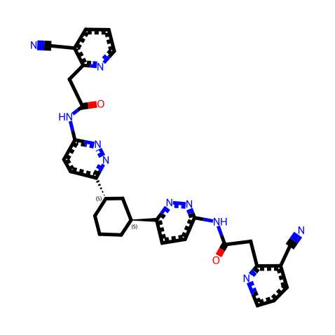 N#Cc1cccnc1CC(=O)Nc1ccc([C@H]2CCC[C@H](c3ccc(NC(=O)Cc4ncccc4C#N)nn3)C2)nn1